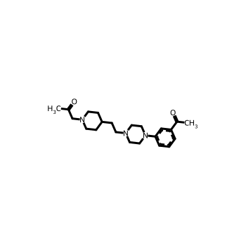 CC(=O)CN1CCC(CCN2CCN(c3cccc(C(C)=O)c3)CC2)CC1